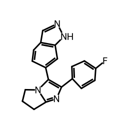 Fc1ccc(-c2nc3n(c2-c2ccc4cn[nH]c4c2)CCC3)cc1